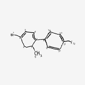 CC1CC(Br)=CC=C1c1ccc(I)cc1